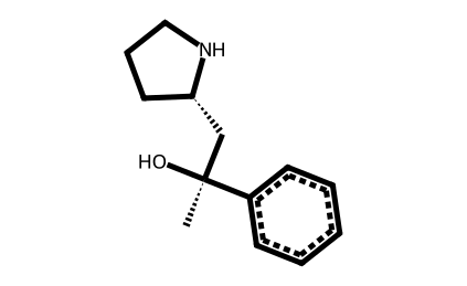 C[C@](O)(C[C@@H]1CCCN1)c1ccccc1